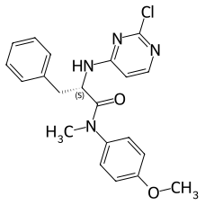 COc1ccc(N(C)C(=O)[C@H](Cc2ccccc2)Nc2ccnc(Cl)n2)cc1